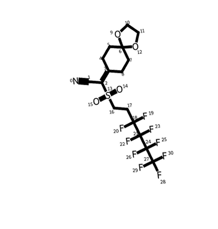 N#CC(=C1CCC2(CC1)OCCO2)S(=O)(=O)CCC(F)(F)C(F)(F)C(F)(F)C(F)(F)F